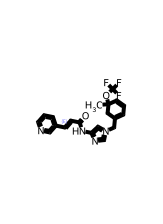 CC1(OC(F)(F)F)C=CC=C(Cn2cnc(NC(=O)/C=C/c3cccnc3)c2)C1